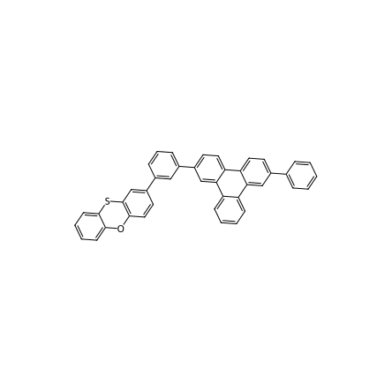 c1ccc(-c2ccc3c4ccc(-c5cccc(-c6ccc7c(c6)Sc6ccccc6O7)c5)cc4c4ccccc4c3c2)cc1